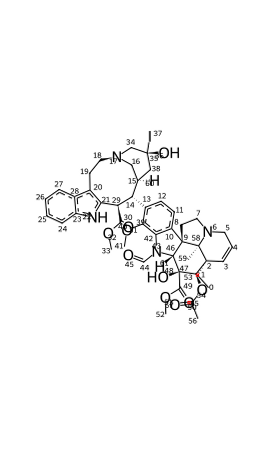 CC[C@]12C=CCN3CC[C@@]4(c5ccc([C@H]6[C@H]7C[N@@](CCc8c([nH]c9ccccc89)[C@@H]6C(=O)OC)C[C@](O)(I)C7)c(OC)c5N(C=O)[C@H]4[C@@](O)(C(=O)OC)[C@@H]1OC(C)=O)[C@@]32C